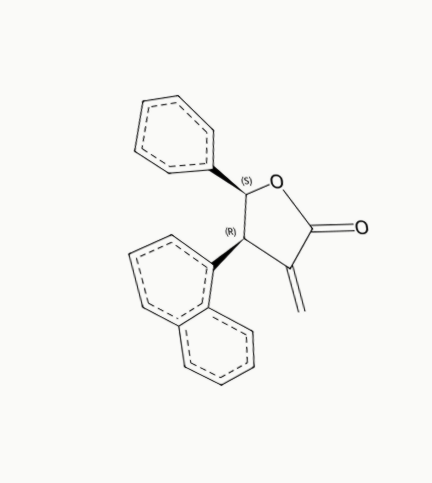 C=C1C(=O)O[C@H](c2ccccc2)[C@@H]1c1cccc2ccccc12